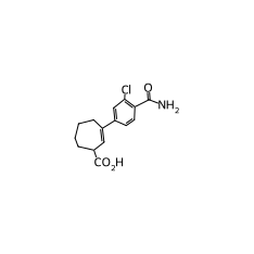 NC(=O)c1ccc(C2=CC(C(=O)O)CCCC2)cc1Cl